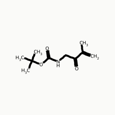 C=C(C)C(=O)CNC(=O)OC(C)(C)C